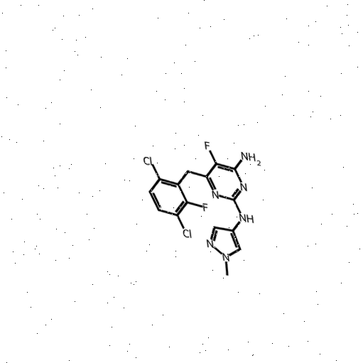 Cn1cc(Nc2nc(N)c(F)c(Cc3c(Cl)ccc(Cl)c3F)n2)cn1